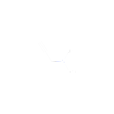 C#CCN(CCCC)C(C)C